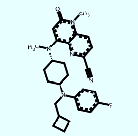 Cn1c(=O)cc(N(C)[C@H]2CC[C@H](N(CC3CCC3)c3ccc(F)cc3)CC2)c2nc(C#N)ccc21